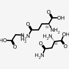 NC(=O)CC[C@H](N)C(=O)O.NC(=O)C[C@H](N)C(=O)O.NCC(=O)O